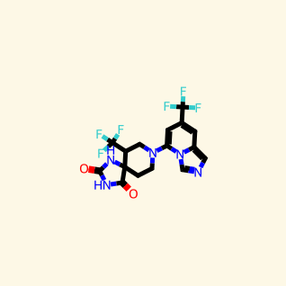 O=C1NC(=O)C2(CCN(c3cc(C(F)(F)F)cc4cncn34)CC2C(F)(F)F)N1